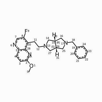 COc1ccc2ncc(F)c(CCN3C[C@@H]4CN(Cc5ccccc5)C[C@@H]4C3)c2n1